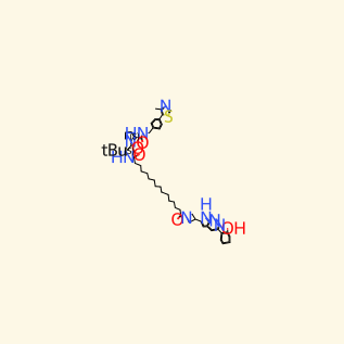 Cc1ncsc1-c1ccc(CNC(=O)[C@@H]2CCCN2C(=O)[C@@H](NC(=O)CCCCCCCCCCCCCCC(=O)N2CC(c3cc4cc(-c5ccccc5O)nnc4[nH]3)C2)C(C)(C)C)cc1